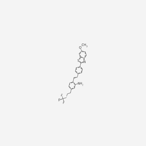 COc1ccc2nc(-c3ccc(C=Cc4ccc(CCCC(F)(F)F)cc4N)cc3)sc2c1